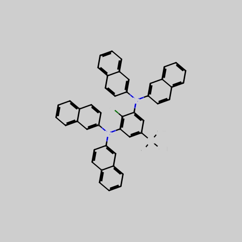 C[Si](C)(C)c1cc(N(c2ccc3ccccc3c2)c2ccc3ccccc3c2)c(Br)c(N(c2ccc3ccccc3c2)c2ccc3ccccc3c2)c1